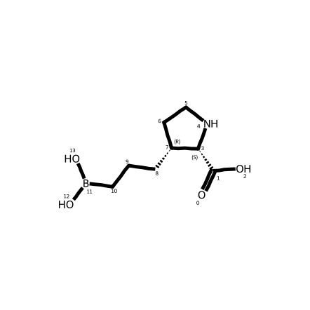 O=C(O)[C@H]1NCC[C@H]1CCCB(O)O